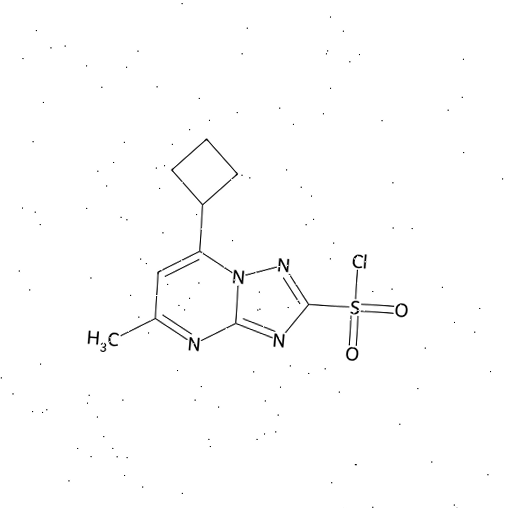 Cc1cc(C2CCC2)n2nc(S(=O)(=O)Cl)nc2n1